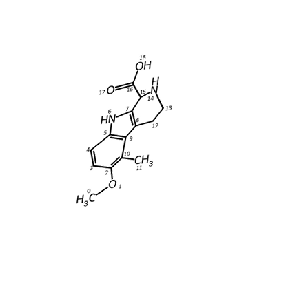 COc1ccc2[nH]c3c(c2c1C)CCNC3C(=O)O